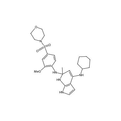 COc1cc(S(=O)(=O)N2CCOCC2)ccc1NC1(C)C=C(NC2CCCCC2)c2cc[nH]c2N1